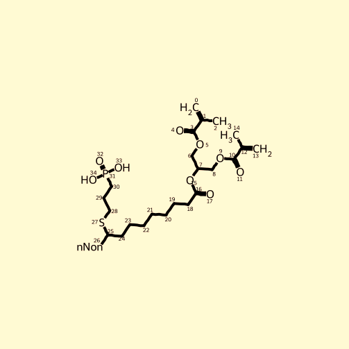 C=C(C)C(=O)OCC(COC(=O)C(=C)C)OC(=O)CCCCCCCC(CCCCCCCCC)SCCCP(=O)(O)O